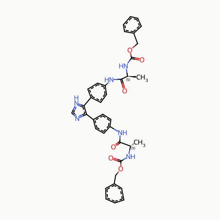 C[C@H](NC(=O)OCc1ccccc1)C(=O)Nc1ccc(-c2nc[nH]c2-c2ccc(NC(=O)[C@H](C)NC(=O)OCc3ccccc3)cc2)cc1